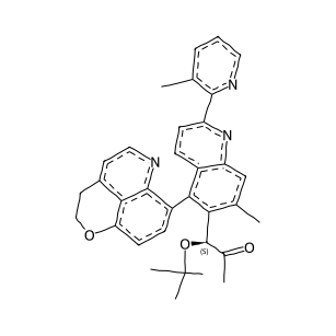 CC(=O)[C@@H](OC(C)(C)C)c1c(C)cc2nc(-c3ncccc3C)ccc2c1-c1ccc2c3c(ccnc13)CCO2